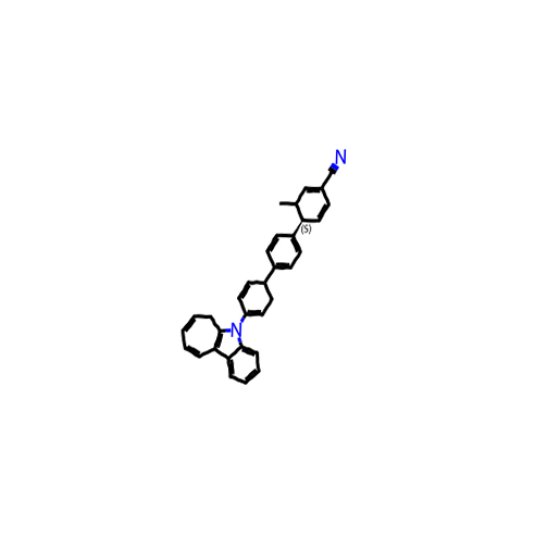 CC1C=C(C#N)C=C[C@H]1c1ccc(C2C=CC(n3c4c(c5ccccc53)C=CC=CC4)=CC2)cc1